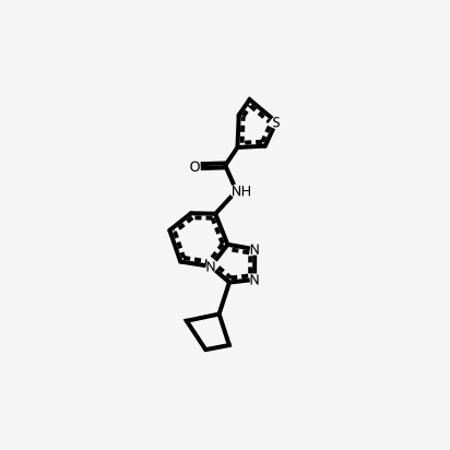 O=C(Nc1cccn2c(C3CCC3)nnc12)c1ccsc1